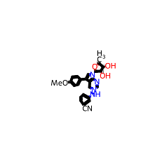 COc1ccc(-c2cn([C@@H]3O[C@H](C)[C@@H](O)[C@H]3O)c3c2CN(Nc2cccc(C#N)c2)C=N3)cc1